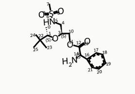 C[C@H](O[C@@H](CNS(C)(=O)=O)COC(=O)[C@@H](N)c1ccccc1)C(C)(C)C